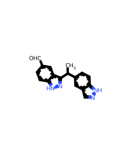 CC(c1ccc2[nH]ncc2c1)c1n[nH]c2ccc(C=O)cc12